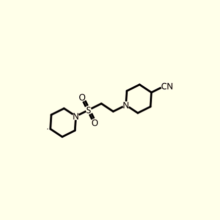 N#CC1CCN(CCS(=O)(=O)N2CC[CH]CC2)CC1